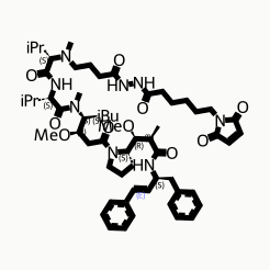 CC[C@H](C)[C@@H]([C@@H](CC(=O)N1CCC[C@H]1[C@H](OC)[C@@H](C)C(=O)N[C@H](/C=C/c1ccccc1)Cc1ccccc1)OC)N(C)C(=O)[C@@H](NC(=O)[C@H](C(C)C)N(C)CCCC(=O)NNC(=O)CCCCCN1C(=O)C=CC1=O)C(C)C